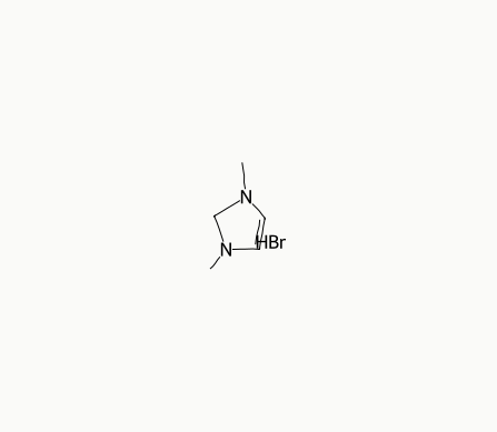 Br.CN1C=CN(C)C1